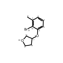 Cc1cccc(OC2CCOC2)c1Br